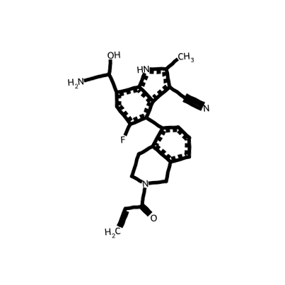 C=CC(=O)N1CCc2c(cccc2-c2c(F)cc(C(N)O)c3[nH]c(C)c(C#N)c23)C1